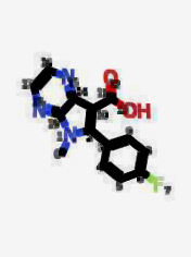 Cn1c(-c2ccc(F)cc2)c(C(=O)O)c2nccnc21